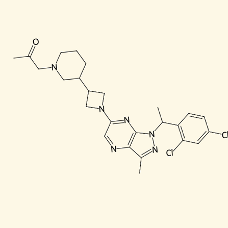 CC(=O)CN1CCCC(C2CN(c3cnc4c(C)nn(C(C)c5ccc(Cl)cc5Cl)c4n3)C2)C1